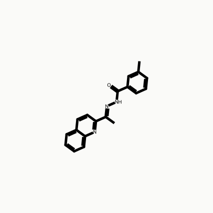 C/C(=N\NC(=O)c1cccc(C)c1)c1ccc2ccccc2n1